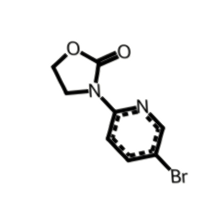 O=C1OCCN1c1ccc(Br)cn1